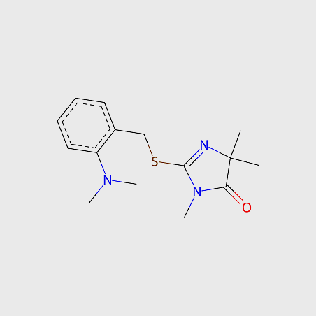 CN1C(=O)C(C)(C)N=C1SCc1ccccc1N(C)C